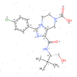 CC(C)(C)[C@@H](CO)NC(=O)c1nc(-c2ccc(Cl)cc2)n2c1CN(C(=O)O)CC2